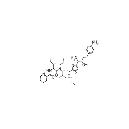 CCCO[C@H](C[C@H](C(C)C)N(CCC)C(=O)[C@@H](NC(=O)[C@H]1CCCCN1C)[C@@H](C)CC)c1nc(C(N)C(CCc2ccc(N)cc2)OC)cs1